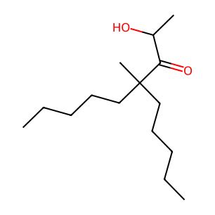 CCCCCC(C)(CCCCC)C(=O)C(C)O